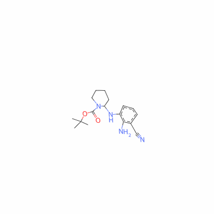 CC(C)(C)OC(=O)N1CCCCC1Nc1cccc(C#N)c1N